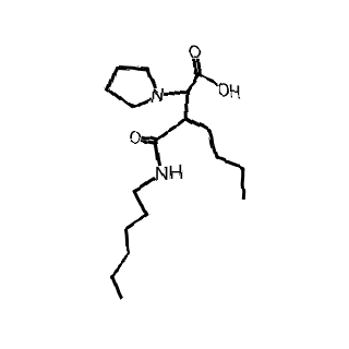 CCCCCCNC(=O)C(CCCC)C(C(=O)O)N1CCCC1